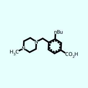 CCCCc1cc(C(=O)O)ccc1CN1CCN(C)CC1